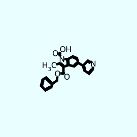 Cc1c(C(=O)OCc2ccccc2)c2cc(-c3cccnc3)ccc2n1C(=O)O